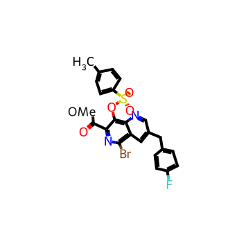 COC(=O)c1nc(Br)c2cc(Cc3ccc(F)cc3)cnc2c1OS(=O)(=O)c1ccc(C)cc1